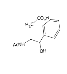 CC(=O)NCC(O)c1ccccc1.CC(=O)O